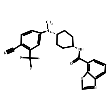 CN(c1ccc(C#N)c(C(F)(F)F)c1)[C@H]1CC[C@@H](NC(=O)c2cccc3ncsc23)CC1